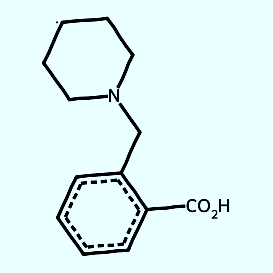 O=C(O)c1ccccc1CN1CC[CH]CC1